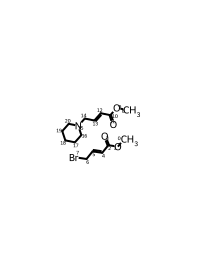 COC(=O)/C=C/CBr.COC(=O)C=CCN1CCCCC1